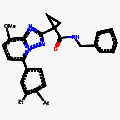 CCc1cc(-c2ccc(OC)c3nc(C4(C(=O)NCc5ccccc5)CC4)nn23)ccc1C(C)=O